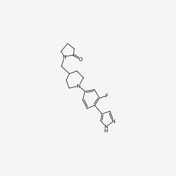 O=C1CCCN1CC1CCN(c2ccc(-c3cn[nH]c3)c(F)c2)CC1